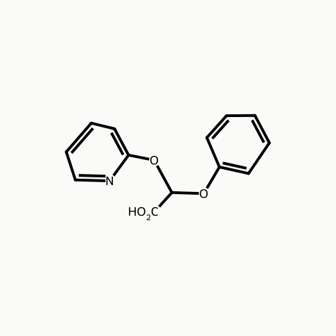 O=C(O)C(Oc1ccccc1)Oc1ccccn1